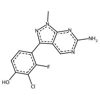 Cn1nc(-c2ccc(O)c(Cl)c2F)c2cnc(N)nc21